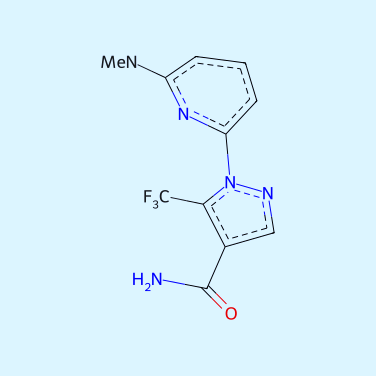 CNc1cccc(-n2ncc(C(N)=O)c2C(F)(F)F)n1